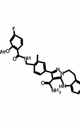 COc1cc(F)ccc1C(=O)NCc1ccc(-c2nn3c(c2C(N)=O)Nc2ccccc2CC3)cc1C